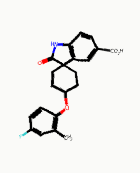 Cc1cc(F)ccc1OC1CCC2(CC1)C(=O)Nc1ccc(C(=O)O)cc12